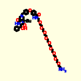 CCCCN1C(=O)[C@@H]([C@H](O)C2CCCCC2)NC(=O)C12CCN(Cc1ccc(Oc3ccc(C(=O)NCCOCCOCCOCCOCCOCCOCCOCCOCCOCCN)cc3)cc1)CC2